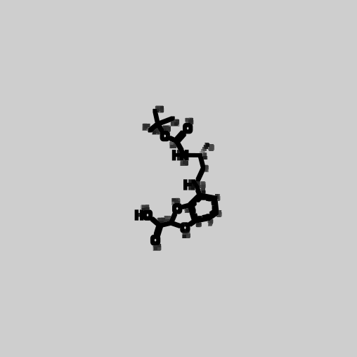 C[C@H](CNc1cccc2c1OC(C(=O)O)O2)NC(=O)OC(C)(C)C